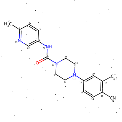 Cc1ccc(NC(=O)N2CCN(c3ccc(C#N)c(C(F)(F)F)c3)CC2)cn1